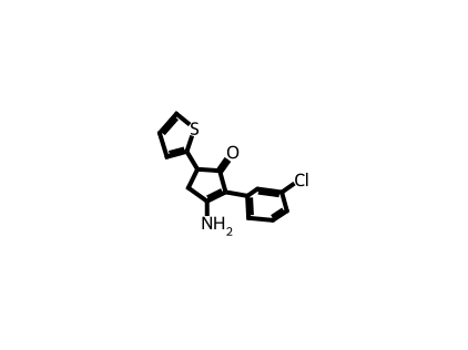 NC1=C(c2cccc(Cl)c2)C(=O)C(c2cccs2)C1